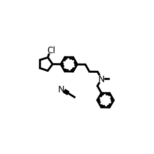 CC#N.CN(CCCc1ccc(C2CCCC2Cl)cc1)Cc1ccccc1